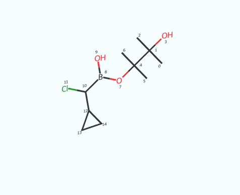 CC(C)(O)C(C)(C)OB(O)C(Cl)C1CC1